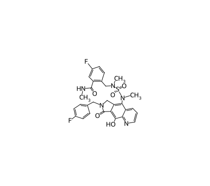 CNC(=O)c1cc(F)ccc1CN(C)S(=O)(=O)N(C)c1c2c(c(O)c3ncccc13)C(=O)N(Cc1ccc(F)cc1)C2